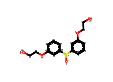 [O-][S+](c1cccc(OCCO)c1)c1cccc(OCCO)c1